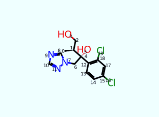 C[C@@H](CO)[C@](O)(Cn1cncn1)c1ccc(Cl)cc1Cl